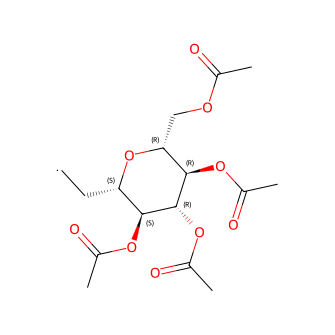 [CH2]C[C@@H]1O[C@H](COC(C)=O)[C@@H](OC(C)=O)[C@H](OC(C)=O)[C@H]1OC(C)=O